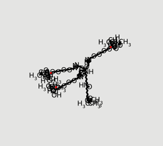 CC(=O)N[C@H]1[C@H]2OC[C@](COCCOCCOCCOCCn3cc(COCC(COCc4cn(CCOCCOCCOCCOC[C@@]56CO[C@@H](O5)[C@H](NC(C)=O)[C@H]5OC(C)(C)O[C@H]56)nn4)(COCc4cn(CCOCCOCCOCCOC[C@@]5(C)O[C@H](O)C[C@H]6OC(C)(C)O[C@H]65)nn4)NC(=O)CCCCCNC(=O)CCCCCB4OC(C)(C)C(C)(C)O4)nn3)(O2)[C@@H]2OC(C)(C)O[C@H]12